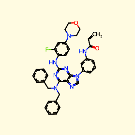 C=CC(=O)Nc1cccc(-n2cnc3c(N(Cc4ccccc4)Cc4ccccc4)nc(Nc4ccc(N5CCOCC5)cc4F)nc32)c1